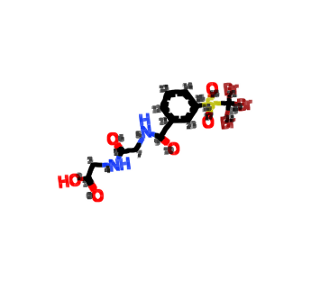 O=C(O)CNC(=O)CNC(=O)c1cccc(S(=O)(=O)C(Br)(Br)Br)c1